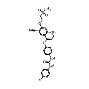 CS(=O)(=O)CCOc1cc2c(cc1C#N)C(Oc1ccc(NC(=O)Nc3ccc(F)cc3)cc1)=CCN2